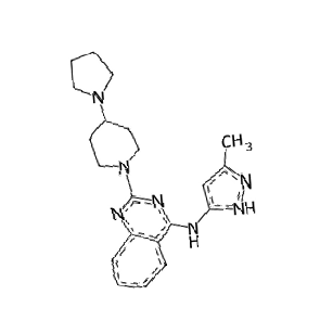 Cc1cc(Nc2nc(N3CCC(N4CCCC4)CC3)nc3ccccc23)[nH]n1